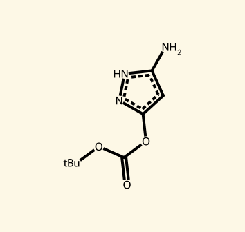 CC(C)(C)OC(=O)Oc1cc(N)[nH]n1